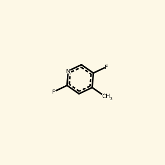 Cc1cc(F)ncc1F